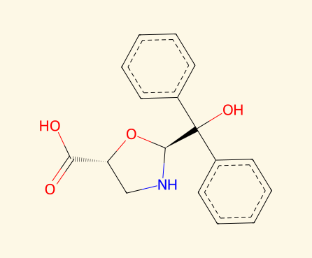 O=C(O)[C@H]1CN[C@H](C(O)(c2ccccc2)c2ccccc2)O1